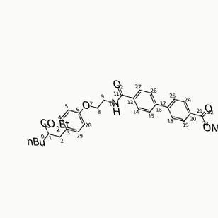 CCCCC(Cc1ccc(OCCNC(=O)c2ccc(-c3ccc(C(=O)OC)cc3)cc2)cc1)C(=O)OCC